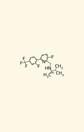 CC(C)[C@@H](C)NCc1nc(-c2ccc(C(F)(F)F)cc2F)ccc1F